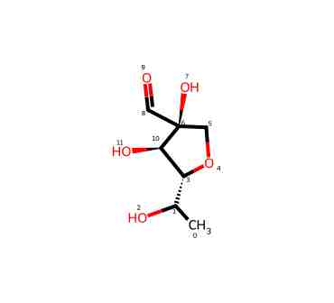 CC(O)[C@H]1OC[C@@](O)(C=O)[C@@H]1O